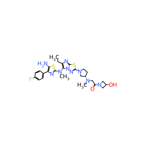 CCc1nc2sc(N3CC[C@H](N(C)CC(=O)N4CC(O)C4)C3)nn2c1N(C)c1nc(-c2ccc(F)cc2)c(N)s1